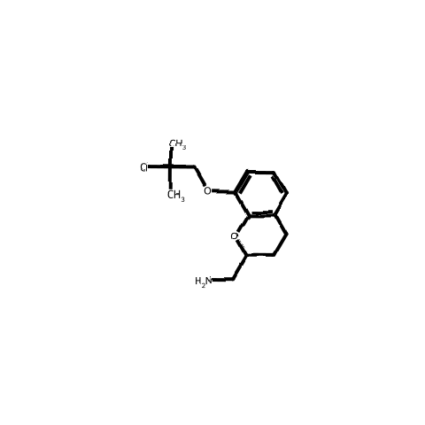 CC(C)(Cl)COc1cccc2c1OC(CN)CC2